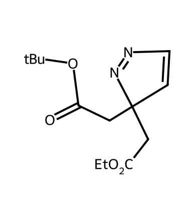 CCOC(=O)CC1(CC(=O)OC(C)(C)C)C=CN=N1